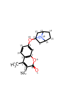 Cc1c(C#N)c(=O)oc2cc(OC3CC4CCC(C3)N4)ccc12